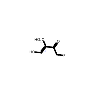 O=C(O)/C(=C\O)C(=O)CF